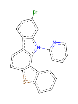 Brc1ccc2c3ccc4sc5ccccc5c4c3n(-c3ccccn3)c2c1